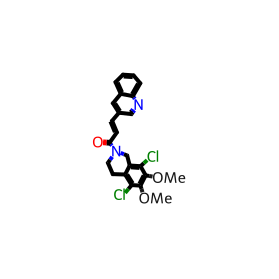 COc1c(Cl)c2c(c(Cl)c1OC)CN(C(=O)C=Cc1cnc3ccccc3c1)CC2